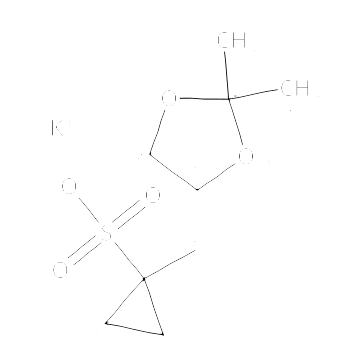 CC1(C)OC[C@@H](CC2(S(=O)(=O)[O-])CC2)O1.[K+]